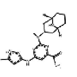 Cc1cc(Nc2cc(C(N)=O)nc(N(C)[C@@H]3C[C@H]4CCC[C@@H](C3)N4)n2)n[nH]1